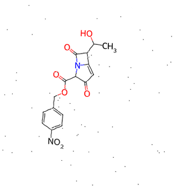 CC(O)C1C(=O)N2C1=CC(=O)C2C(=O)OCc1ccc([N+](=O)[O-])cc1